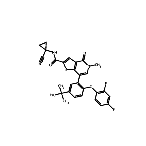 Cn1cc(-c2cc(C(C)(C)O)ccc2Oc2ccc(F)cc2F)c2sc(C(=O)NC3(C#N)CC3)cc2c1=O